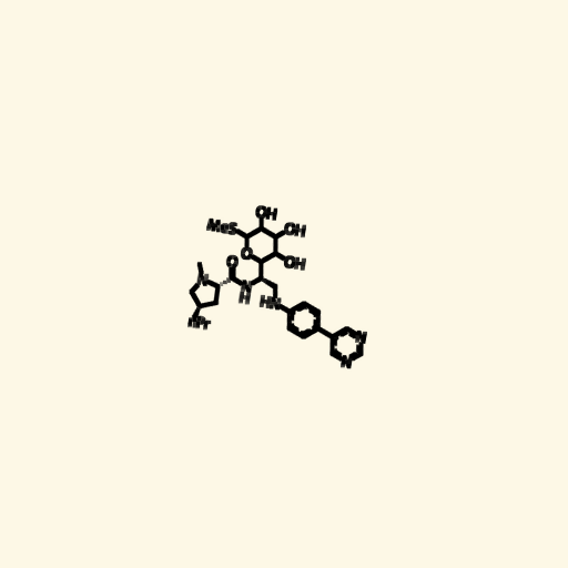 CCC[C@@H]1C[C@@H](C(=O)N[C@H](CNc2ccc(-c3cncnc3)cc2)C2OC(SC)C(O)C(O)C2O)N(C)C1